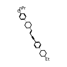 CCCOc1ccc([C@H]2CC[C@H](C=CC#Cc3ccc([C@H]4CC[C@H](CC)CC4)cc3)CC2)cc1